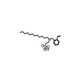 C=Cc1ccccc1CN(CCCCCCCCCCCC)CCS(=O)(=O)O